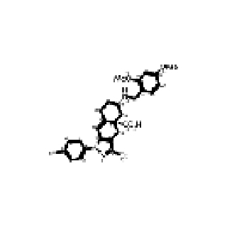 CCc1nn(-c2ccc(F)cc2)c2c1C[C@]1(C(=O)O)C[C@@H](NCc3ccc(OC)cc3OC)CCC1=C2